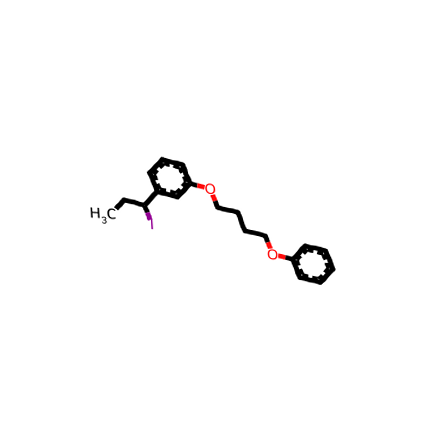 CCC(I)c1cccc(OCCCCOc2ccccc2)c1